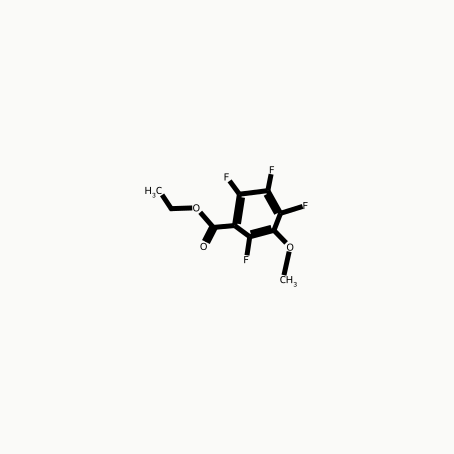 CCOC(=O)c1c(F)c(F)c(F)c(OC)c1F